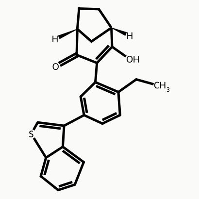 CCc1ccc(-c2csc3ccccc23)cc1C1=C(O)[C@H]2CC[C@H](C2)C1=O